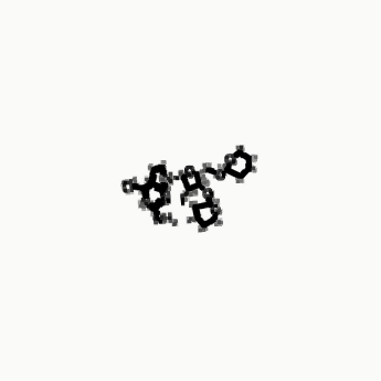 Nc1nc(Cl)c2ccn([C@@H]3O[C@H](COC4CCCCO4)[C@@H](OC4CCCCO4)[C@@H]3F)c2n1